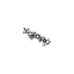 C=CC(=O)NC1CCN(S(=O)(=O)c2ccc(NC(=O)c3cc4c([nH]3)CCCC4)cc2)C2(CCC2)C1